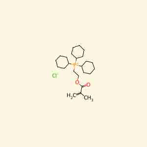 C=C(C)C(=O)OCC[P+](C1CCCCC1)(C1CCCCC1)C1CCCCC1.[Cl-]